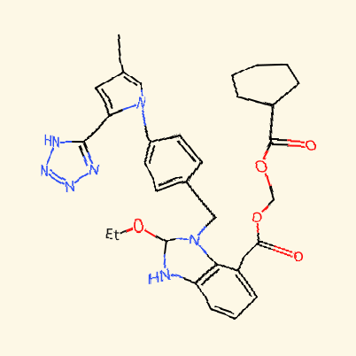 CCOC1Nc2cccc(C(=O)OCOC(=O)C3CCCCC3)c2N1Cc1ccc(-n2cc(C)cc2-c2nnn[nH]2)cc1